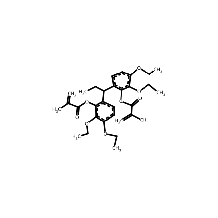 C=C(C)C(=O)Oc1c(C(CC)c2ccc(OCC)c(OCC)c2OC(=O)C(=C)C)ccc(OCC)c1OCC